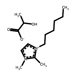 CC(O)C(=O)[O-].CCCCCC[n+]1ccn(C)c1C